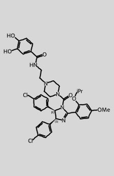 COc1ccc(C2=N[C@@H](c3ccc(Cl)cc3)[C@@H](c3ccc(Cl)cc3)N2C(=O)N2CCN(CCNC(=O)c3ccc(O)c(O)c3)CC2)c(OC(C)C)c1